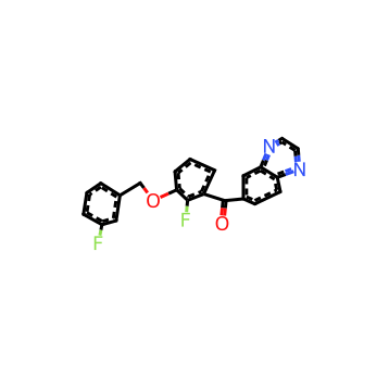 O=C(c1ccc2nccnc2c1)c1cccc(OCc2cccc(F)c2)c1F